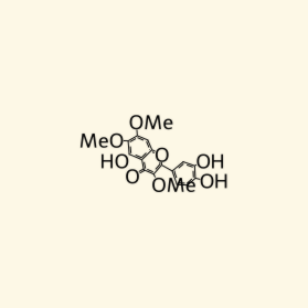 COc1cc2oc(-c3ccc(O)c(O)c3)c(OC)c(=O)c2c(O)c1OC